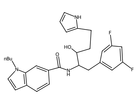 CCCCn1ccc2ccc(C(=O)NC(Cc3cc(F)cc(F)c3)C(O)CCc3ccc[nH]3)cc21